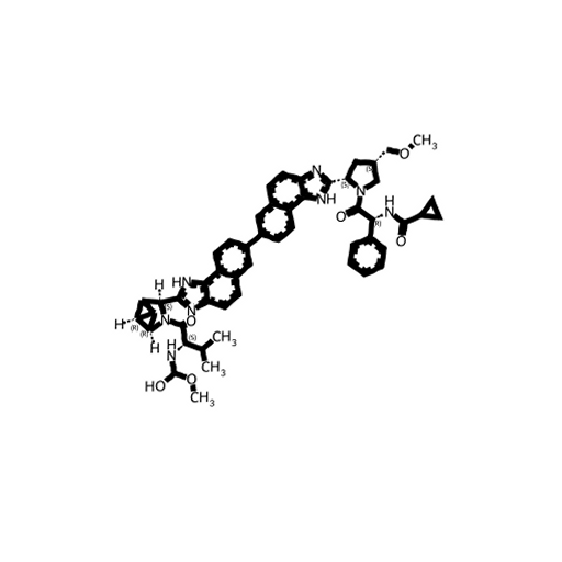 COC[C@H]1C[C@@H](c2nc3ccc4cc(-c5ccc6c(ccc7nc([C@@H]8C9C%10[C@H]9[C@@H]%10N8C(=O)[C@@H](NC(O)OC)C(C)C)[nH]c76)c5)ccc4c3[nH]2)N(C(=O)[C@H](NC(=O)C2CC2)c2ccccc2)C1